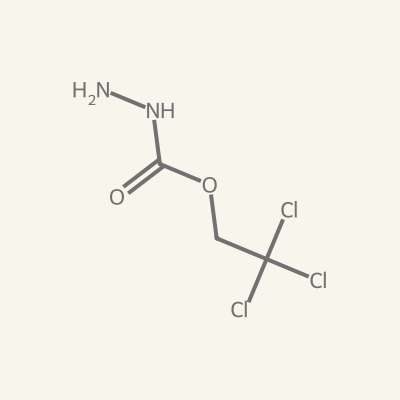 NNC(=O)OCC(Cl)(Cl)Cl